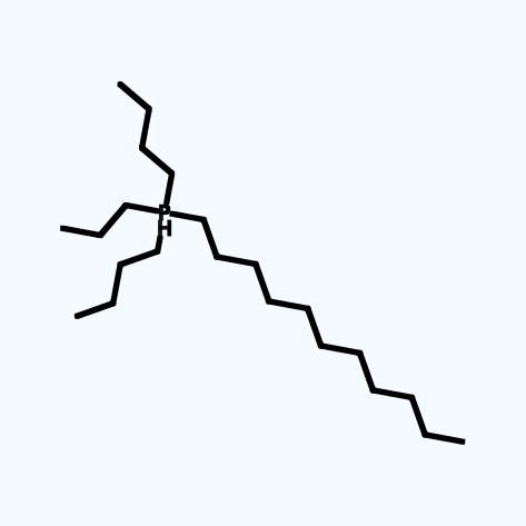 CCCCCCCCCCC[PH](CCC)(CCCC)CCCC